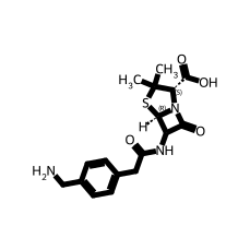 CC1(C)S[C@@H]2C(NC(=O)Cc3ccc(CN)cc3)C(=O)N2[C@H]1C(=O)O